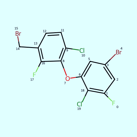 Fc1cc(Br)cc(Oc2c(Cl)ccc(CBr)c2F)c1Cl